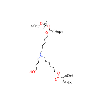 CCCCCCCCO[Si](C)(C)OC(CCCCCCC)OCCCCCCN(CCCCO)CCCCCCOC(=O)C(CCCCCC)CCCCCCCC